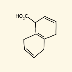 O=C(O)C1C=CCC2=C1CC=CC2